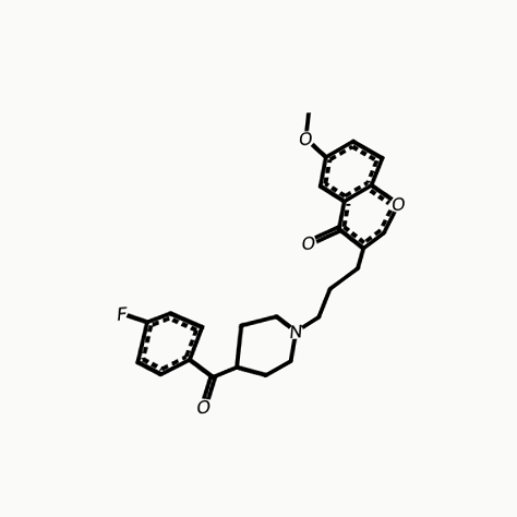 COc1ccc2occ(CCCN3CCC(C(=O)c4ccc(F)cc4)CC3)c(=O)c2c1